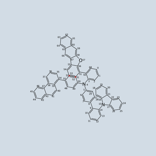 c1ccc(N(c2ccc(-c3ccccc3-n3c4ccccc4c4ccccc43)cc2)c2ccc(-c3cccc4c3ccc3ccccc34)cc2)c(-c2cccc3c2oc2cc4ccccc4cc23)c1